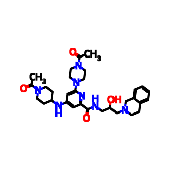 CC(=O)N1CCC(Nc2cc(C(=O)NCC(O)CN3CCc4ccccc4C3)nc(N3CCN(C(C)=O)CC3)c2)CC1